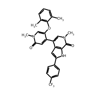 Cc1cccc(C)c1Oc1cn(C)c(=O)cc1-c1cn(C)c(=O)c2[nH]c(-c3ccc(C(F)(F)F)cc3)cc12